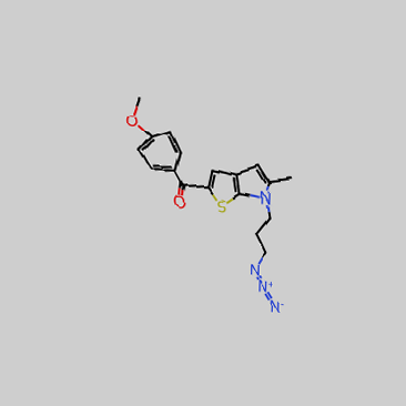 COc1ccc(C(=O)c2cc3cc(C)n(CCCN=[N+]=[N-])c3s2)cc1